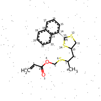 C=CC(=O)OCSC(C)CC1CS[C@@H](c2cccc3ccccc23)S1